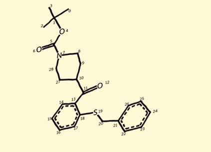 CC(C)(C)OC(=O)N1CCC(C(=O)c2ccccc2SCc2ccccc2)CC1